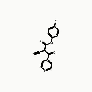 N#CC(C(=O)Nc1ccc(Cl)cc1)C(=O)c1ccncc1